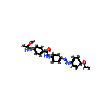 CCOc1ccc(N=Nc2ccc(NC(=O)c3ccc(NC(C)=O)cc3)cc2)cc1